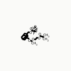 C=C(C)C(=O)OCCOC(C)OCC12CC3CC(CC(COC(=O)C(F)(F)S(=O)(=O)F)(C3)C1)C2